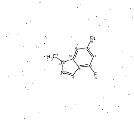 CCc1cc(F)c2cnn(C)c2c1